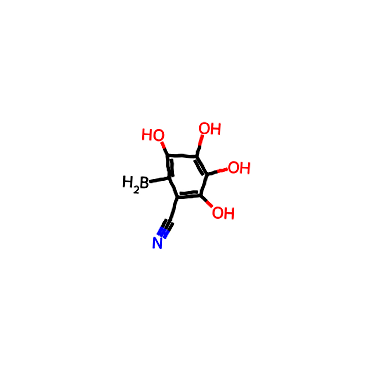 Bc1c(O)c(O)c(O)c(O)c1C#N